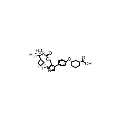 CC(C1CCC1)N(C)C(=O)OCc1c(-c2ccc(O[C@H]3CCC[C@H](C(=O)O)C3)cc2)cnn1C